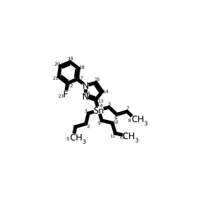 CCC[CH2][Sn]([CH2]CCC)([CH2]CCC)[c]1ccn(-c2ccccc2F)n1